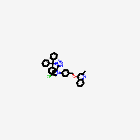 Cc1cc(OCc2ccc(-n3cc(Cl)cc3-c3nnnn3C(c3ccccc3)(c3ccccc3)c3ccccc3)cc2)c2ccccc2n1